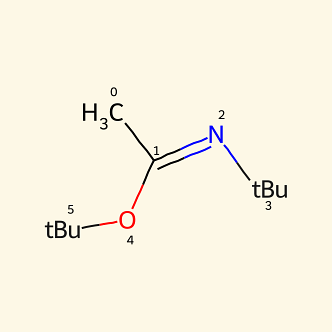 C/C(=N/C(C)(C)C)OC(C)(C)C